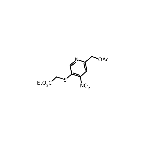 CCOC(=O)CSc1cnc(COC(C)=O)cc1[N+](=O)[O-]